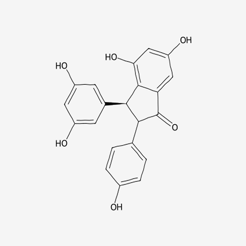 O=C1c2cc(O)cc(O)c2[C@H](c2cc(O)cc(O)c2)C1c1ccc(O)cc1